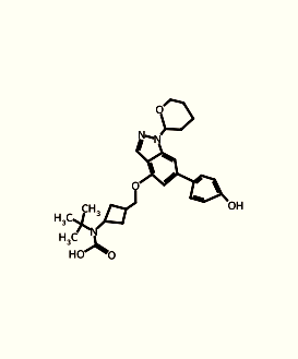 CC(C)(C)N(C(=O)O)C1CC(COc2cc(-c3ccc(O)cc3)cc3c2cnn3C2CCCCO2)C1